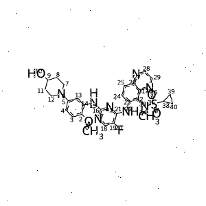 COc1ccc(N2CCC(O)CC2)cc1Nc1ncc(F)c(Nc2ccc3nccnc3c2N(C)S(=O)(=O)C2CC2)n1